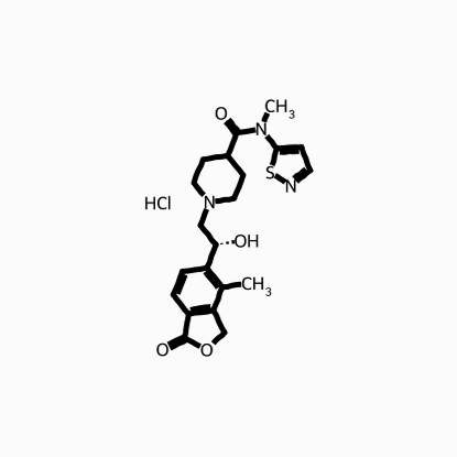 Cc1c([C@@H](O)CN2CCC(C(=O)N(C)c3ccns3)CC2)ccc2c1COC2=O.Cl